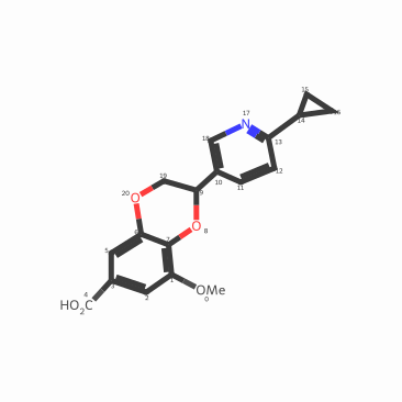 COc1cc(C(=O)O)cc2c1OC(c1ccc(C3CC3)nc1)CO2